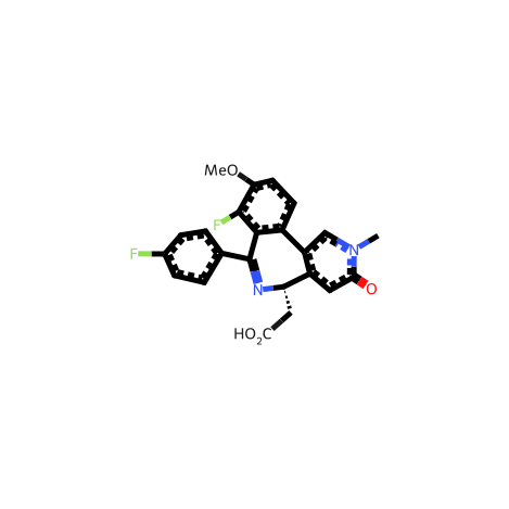 COc1ccc2c(c1F)C(c1ccc(F)cc1)=N[C@@H](CC(=O)O)c1cc(=O)n(C)cc1-2